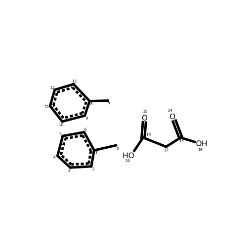 Cc1ccccc1.Cc1ccccc1.O=C(O)CC(=O)O